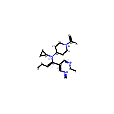 C=N/C=C(\C=N/CC)C(=C/CC)/N(C1CC1)C1CCN(C(=C)C)CC1